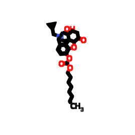 CCCCCCCCOC(=O)Oc1ccc2c3c1OC1C(=O)CCC4(O)C(C2)N(CC2CC2)CCC314